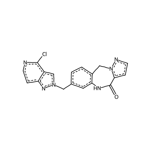 O=C1Nc2cc(Cn3cc4c(Cl)nccc4n3)ccc2Cn2nccc21